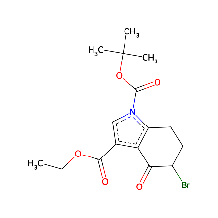 CCOC(=O)c1cn(C(=O)OC(C)(C)C)c2c1C(=O)C(Br)CC2